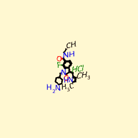 C#CCNC(=O)c1ccc2c(c1F)N(CC1CCC(N)CC1)C(=O)/C2=C\c1[nH]c(C)cc1C.Cl